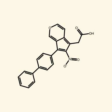 O=C(O)Cc1c2ccocc-2c(-c2ccc(-c3ccccc3)cc2)c1[N+](=O)[O-]